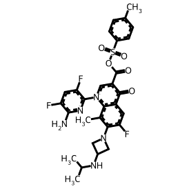 Cc1ccc(S(=O)(=O)OC(=O)c2cn(-c3nc(N)c(F)cc3F)c3c(C)c(N4CC(NC(C)C)C4)c(F)cc3c2=O)cc1